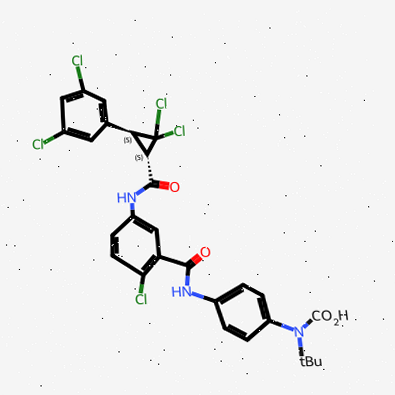 CC(C)(C)N(C(=O)O)c1ccc(NC(=O)c2cc(NC(=O)[C@@H]3[C@@H](c4cc(Cl)cc(Cl)c4)C3(Cl)Cl)ccc2Cl)cc1